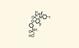 NC(=O)c1c(Nc2ccc(I)cc2F)cc(F)cc1Oc1cccc(NC(=O)CO)c1